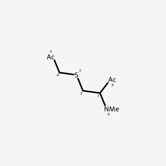 CNC(CSCC(C)=O)C(C)=O